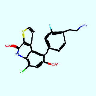 NCCc1ccc(-c2c(O)cc(Cl)c3[nH]c(=O)c4sccc4c23)cc1F